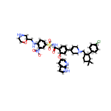 CC1(C)CCC(CN2CC=C(c3ccc(C(=O)NS(=O)(=O)c4ccc(NCC5CNCCO5)c([N+](=O)[O-])c4)c(Oc4cnc5[nH]ccc5c4)c3)CC2)=C(c2ccc(Cl)cc2)C1